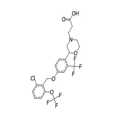 O=C(O)CCN1CCOC(c2ccc(OCc3c(Cl)cccc3OC(F)(F)F)cc2C(F)(F)F)C1